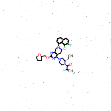 C=C(F)C(=O)N1CCN(c2nc(OCC3CCCO3)nc3c2CCN(c2cccc4ccc(F)c(Cl)c24)C3)C[C@@H]1CC#N